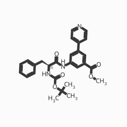 COC(=O)c1cc(NC(=O)[C@H](Cc2ccccc2)NC(=O)OC(C)(C)C)cc(-c2ccncc2)c1